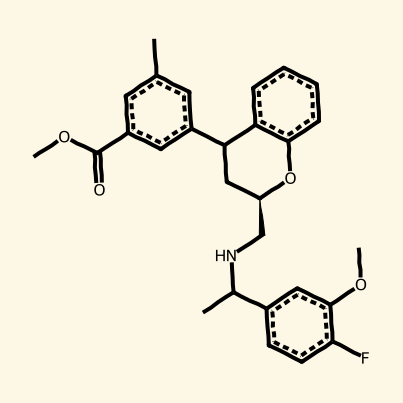 COC(=O)c1cc(C)cc(C2C[C@H](CNC(C)c3ccc(F)c(OC)c3)Oc3ccccc32)c1